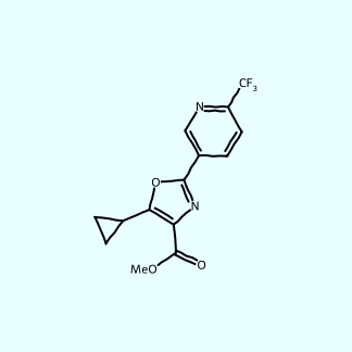 COC(=O)c1nc(-c2ccc(C(F)(F)F)nc2)oc1C1CC1